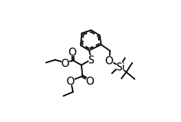 CCOC(=O)C(Sc1ccccc1CO[Si](C)(C)C(C)(C)C)C(=O)OCC